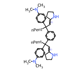 CCCCCC(/C=C1\CCCN1)(c1ccc(N(C)C)cc1)c1cccc(C(/C=C2\CCCN2)(CCCCC)c2ccc(N(C)C)cc2)c1